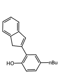 CCCCc1ccc(O)c(C2=Cc3ccccc3C2)c1